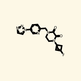 O=C1C(=O)N(C23CC(F)(C2)C3)CCN1Cc1ccc(-n2ccnn2)cn1